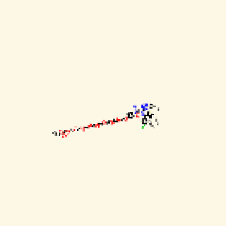 Cc1sc2c(c1C)C(c1ccc(Cl)cc1)=N[C@@H](CC(=O)Nc1ccc(OCCOCCOCCOCCOCCOCCOCCOCCOCC(=O)OC(C)(C)C)cc1)c1nnc(C)n1-2